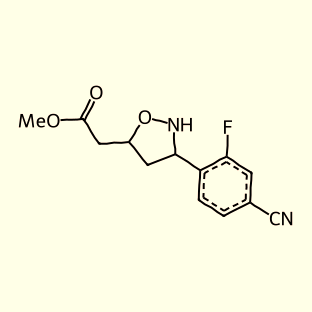 COC(=O)CC1CC(c2ccc(C#N)cc2F)NO1